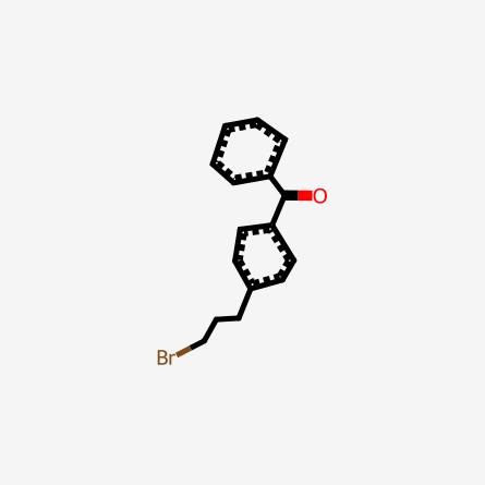 O=C(c1ccccc1)c1ccc(CCCBr)cc1